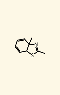 CC1=NC2(C)C=CC=CC2S1